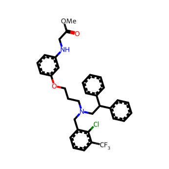 COC(=O)CNc1cccc(OCCCN(Cc2cccc(C(F)(F)F)c2Cl)CC(c2ccccc2)c2ccccc2)c1